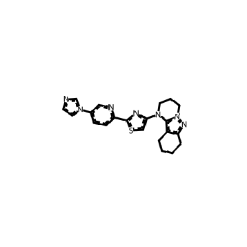 c1cn(-c2ccc(-c3nc(N4CCCn5nc6c(c54)CCCC6)cs3)nc2)cn1